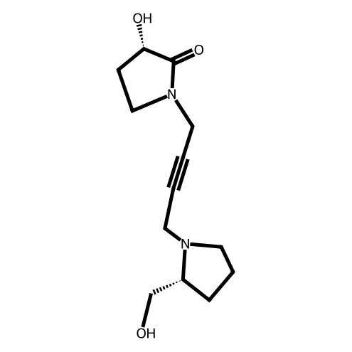 O=C1[C@@H](O)CCN1CC#CCN1CCC[C@@H]1CO